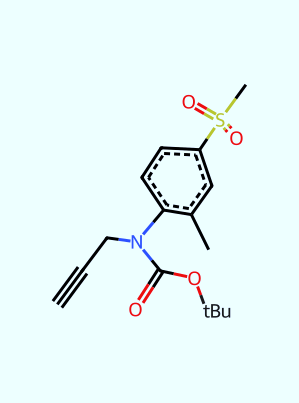 C#CCN(C(=O)OC(C)(C)C)c1ccc(S(C)(=O)=O)cc1C